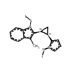 Cc1c([C@H]2C[C@H]2c2cccn2SI)n(SI)c2ccccc12